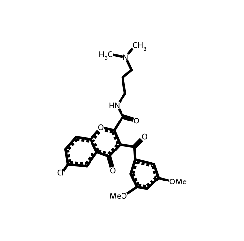 COc1cc(OC)cc(C(=O)c2c(C(=O)NCCCN(C)C)oc3ccc(Cl)cc3c2=O)c1